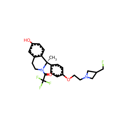 C[C@@]1(c2ccc(OCCN3CC(CF)C3)cc2)c2ccc(O)cc2CCN1C(=O)C(F)(F)F